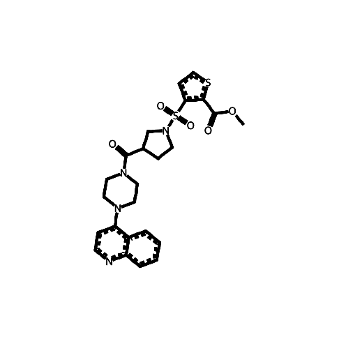 COC(=O)c1sccc1S(=O)(=O)N1CCC(C(=O)N2CCN(c3ccnc4ccccc34)CC2)C1